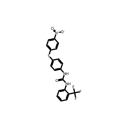 O=C(Nc1ccc(Sc2ccc([N+](=O)[O-])cc2)cc1)Nc1ccccc1C(F)(F)F